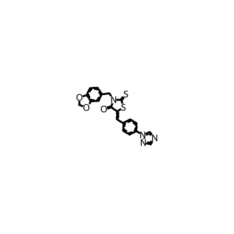 O=C1/C(=C/c2ccc(-n3cncn3)cc2)SC(=S)N1Cc1ccc2c(c1)OCO2